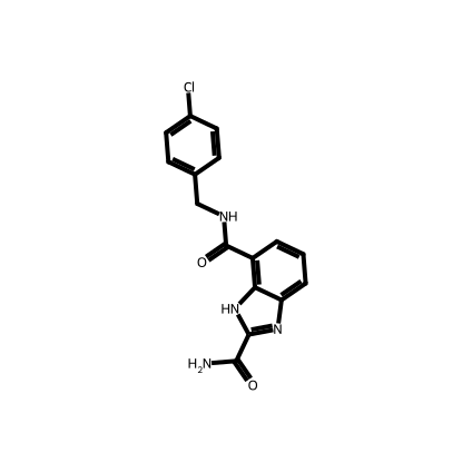 NC(=O)c1nc2cccc(C(=O)NCc3ccc(Cl)cc3)c2[nH]1